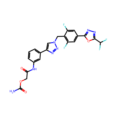 NC(=O)OCC(=O)Nc1cccc(-c2cn(Cc3c(F)cc(-c4nnc(C(F)F)o4)cc3F)nn2)c1